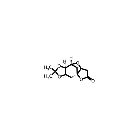 CC1(C)OC2C[C@]34C[C@@H](OC3CC(=O)O4)[C@@H]2O1